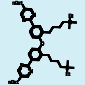 CCCCCCCCc1cnc(-c2ccc(Oc3ccc(-c4ncc(CCCCCCCC)cn4)cc3CCCC[Si](C)(C)CC)c(CCCC[Si](C)(C)CC)c2)nc1